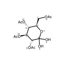 CC(=O)OC[C@H]1OC(O)(O)[C@H](OC(C)=O)[C@@H](OC(C)=O)[C@@H]1OC(C)=O